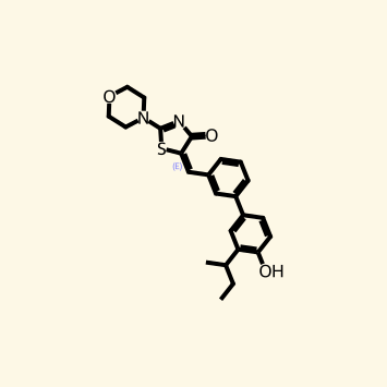 CCC(C)c1cc(-c2cccc(/C=C3/SC(N4CCOCC4)=NC3=O)c2)ccc1O